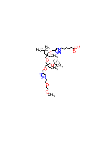 CCC(COCc1cn(CCOCCOC)nn1)(COCC(CC)(COCc1cn(CCCCCC(=O)O)nn1)CC(C)C)COC(C)C